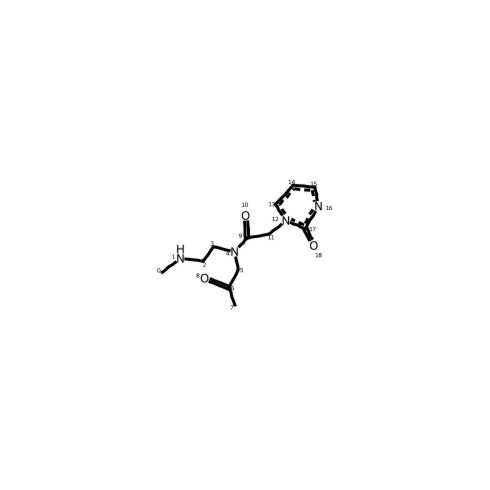 CNCCN(CC(C)=O)C(=O)Cn1cccnc1=O